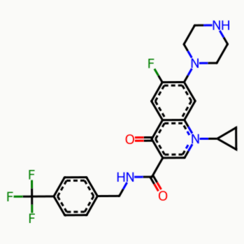 O=C(NCc1ccc(C(F)(F)F)cc1)c1cn(C2CC2)c2cc(N3CCNCC3)c(F)cc2c1=O